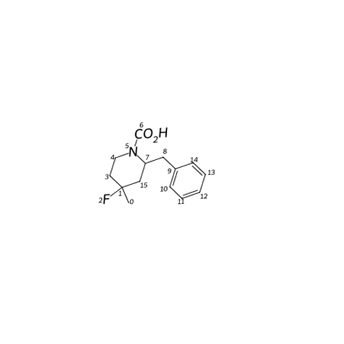 CC1(F)CCN(C(=O)O)C(Cc2ccccc2)C1